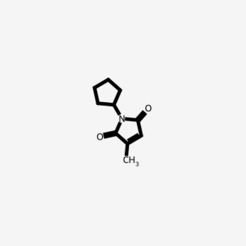 CC1=CC(=O)N(C2CCCC2)C1=O